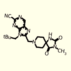 CN1C(=O)NC2(CCN(Cc3nc4cnc(C#N)nc4n3CC(C)(C)C)CC2)C1=O